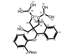 CCCCCCCCCc1ccccc1OC(c1ccccc1CCCCCCCCC)C(CO)(COP(O)O)COP(O)O